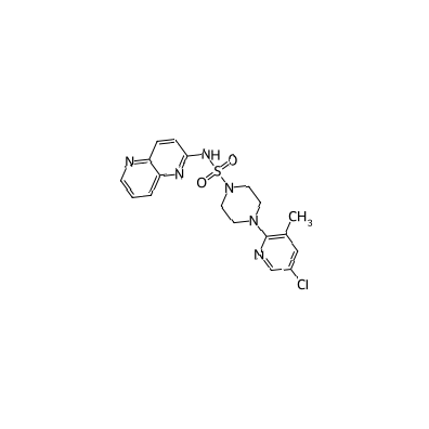 Cc1cc(Cl)cnc1N1CCN(S(=O)(=O)Nc2ccc3ncccc3n2)CC1